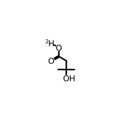 [2H]OC(=O)CC(C)(C)O